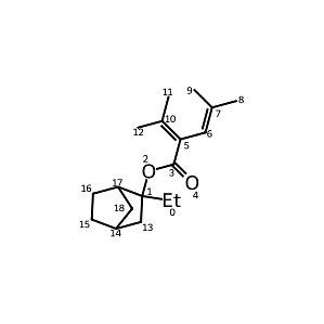 CCC1(OC(=O)C(C=C(C)C)=C(C)C)CC2CCC1C2